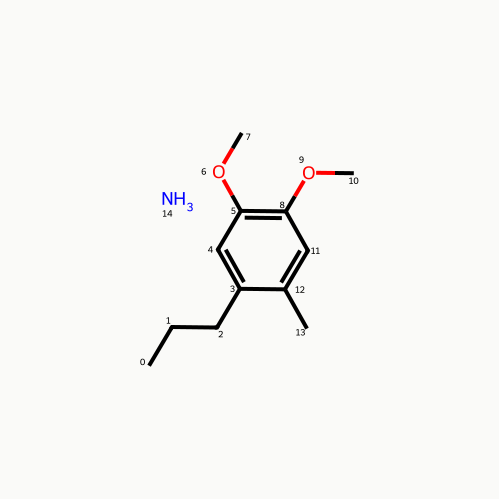 CCCc1cc(OC)c(OC)cc1C.N